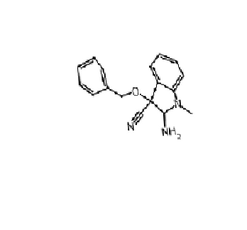 CN1c2ccccc2C(C#N)(OCc2ccccc2)C1N